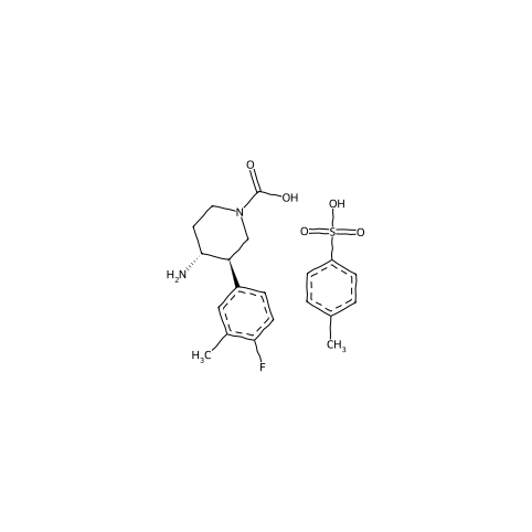 Cc1cc([C@@H]2CN(C(=O)O)CC[C@H]2N)ccc1F.Cc1ccc(S(=O)(=O)O)cc1